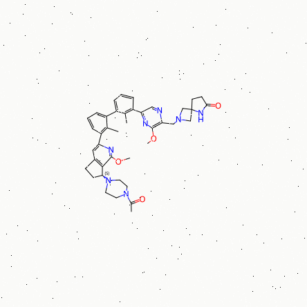 COc1nc(-c2cccc(-c3cccc(-c4cc5c(c(OC)n4)[C@@H](N4CCN(C(C)=O)CC4)CC5)c3C)c2C)cnc1CN1CC2(CCC(=O)N2)C1